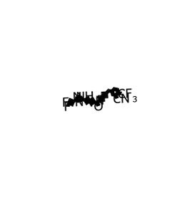 N#Cc1cc(CC2CC3(C2)CN(C(=O)N2CC4(CC(c5nc(C6CC(F)(F)C6)n[nH]5)C4)C2)C3)ccc1C(F)(F)F